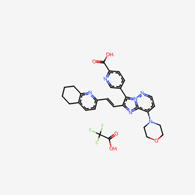 O=C(O)C(F)(F)F.O=C(O)c1ccc(-c2c(/C=C/c3ccc4c(n3)CCCC4)nc3c(N4CCOCC4)ccnn23)cn1